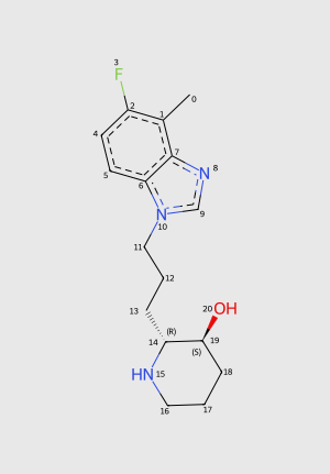 Cc1c(F)ccc2c1ncn2CCC[C@H]1NCCC[C@@H]1O